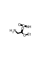 CCOC(=O)CN.N=C=O